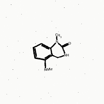 CNc1cccc2c1CNC(=O)N2C